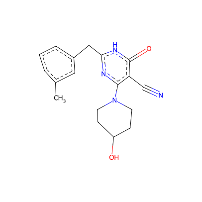 Cc1cccc(Cc2nc(N3CCC(O)CC3)c(C#N)c(=O)[nH]2)c1